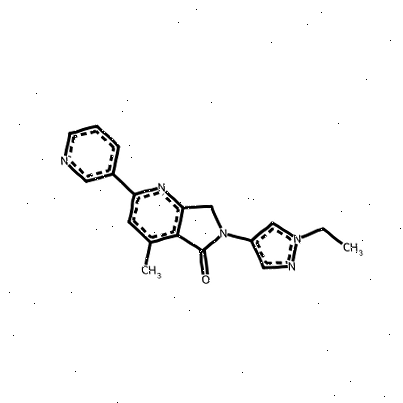 CCn1cc(N2Cc3nc(-c4cccnc4)cc(C)c3C2=O)cn1